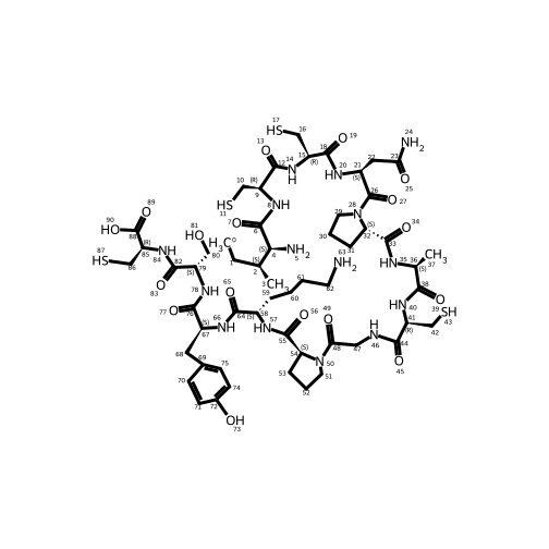 CC[C@H](C)[C@H](N)C(=O)N[C@@H](CS)C(=O)N[C@@H](CS)C(=O)N[C@@H](CC(N)=O)C(=O)N1CCC[C@H]1C(=O)N[C@@H](C)C(=O)N[C@@H](CS)C(=O)NCC(=O)N1CCC[C@H]1C(=O)N[C@@H](CCCCN)C(=O)N[C@@H](Cc1ccc(O)cc1)C(=O)N[C@@H](CO)C(=O)N[C@@H](CS)C(=O)O